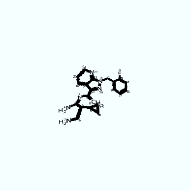 C=C(/N=C(N)\C(=C/N)C1CC1)c1nn(Cc2ccccc2F)c2ncccc12